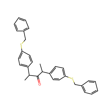 CC(C(=O)C(C)c1ccc(SCc2ccccc2)cc1)c1ccc(SCc2ccccc2)cc1